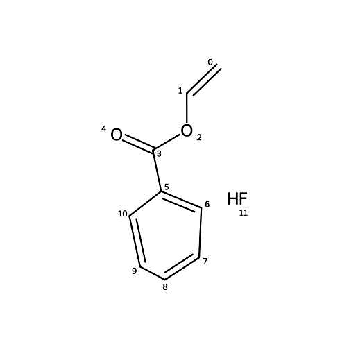 C=COC(=O)c1ccccc1.F